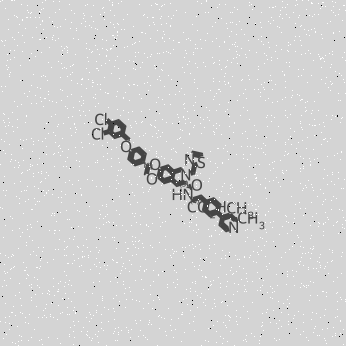 Cc1nccc(-c2ccc(C[C@H](NC(=O)[C@@H]3Cc4cc5c(cc4CN3Cc3nccs3)O[C@@H](c3ccc(OCc4ccc(Cl)c(Cl)c4)cc3)CO5)C(=O)O)cc2)c1C